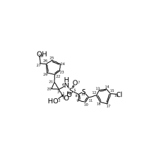 O=C(O)C1(NS(=O)(=O)c2ccc(-c3ccc(Cl)cc3)s2)CC1c1cccc(CO)c1